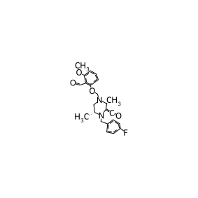 COc1cccc(OCN2C[C@@H](C)N(Cc3ccc(F)cc3)C(=C=O)[C@@H]2C)c1C=O